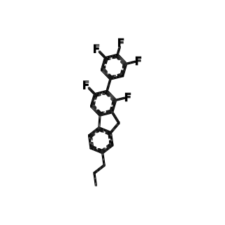 CCCc1ccc2c(c1)Cc1c-2cc(F)c(-c2cc(F)c(F)c(F)c2)c1F